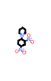 O=[N+]([O-])c1ccc(-[n+]2cc[c]cc2)c([N+](=O)[O-])c1